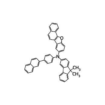 CC1(C)c2ccccc2-c2cc(N(c3ccc(-c4ccc5ccccc5c4)cc3)c3ccc4oc5c6ccccc6ccc5c4c3)ccc21